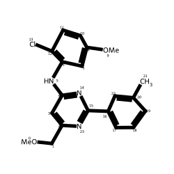 COCc1cc(Nc2cc(OC)ccc2Cl)nc(-c2cccc(C)c2)n1